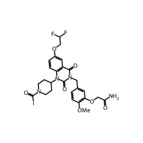 COc1ccc(Cn2c(=O)c3cc(OCC(F)F)ccc3n(C3CCN(C(=O)I)CC3)c2=O)cc1OCC(N)=O